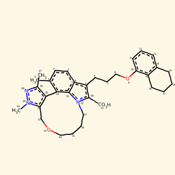 Cc1ccc2c(CCCOc3cccc4c3CCCC4)c(C(=O)O)n3c2c1-c1c(C)nn(C)c1COCCCC3